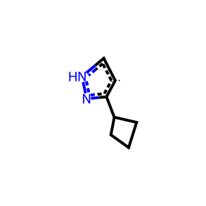 [c]1c[nH]nc1C1CCC1